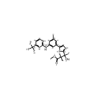 COC(=O)C(C)(C)C(C)(O)c1ncc(-c2cc(C)cc(Nc3nccc(C(F)(F)F)n3)c2)s1